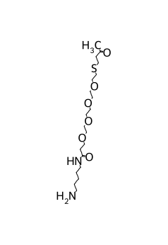 CC(=O)CCSCCOCCOCCOCCOCCC(=O)NCCCCCN